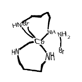 NBr.[Br][Co]12([NH]CC[NH]1)[NH]CC[NH]2